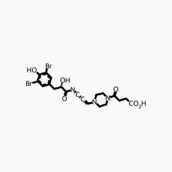 O=C(O)CCC(=O)N1CCN(C=C=C=NC(=O)[C@H](O)Cc2cc(Br)c(O)c(Br)c2)CC1